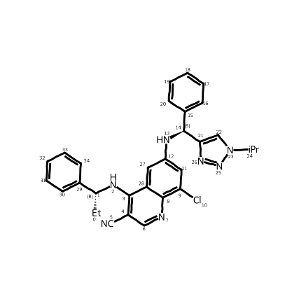 CC[C@@H](Nc1c(C#N)cnc2c(Cl)cc(N[C@@H](c3ccccc3)c3cn(C(C)C)nn3)cc12)c1ccccc1